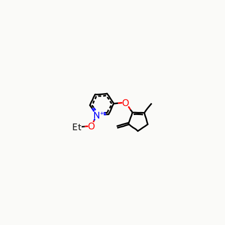 C=C1CCC(C)=C1Oc1ccc[n+](OCC)c1